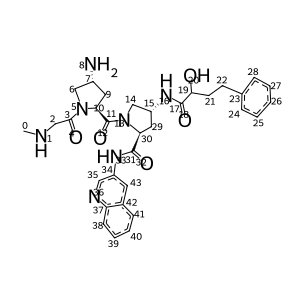 CNCC(=O)N1C[C@H](N)C[C@H]1C(=O)N1C[C@H](NC(=O)C(O)CCc2ccccc2)C[C@H]1C(=O)Nc1cnc2ccccc2c1